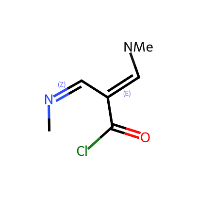 C/N=C\C(=C/NC)C(=O)Cl